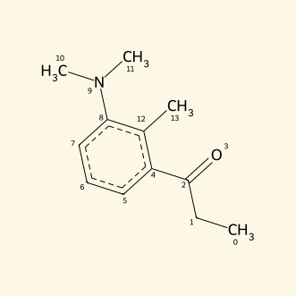 CCC(=O)c1cccc(N(C)C)c1C